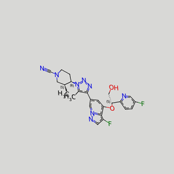 Cc1c(-c2cc(O[C@H](CO)c3ccc(F)cn3)c3c(F)cnn3c2)nnn1[C@@H]1CCN(C#N)C[C@@H]1C